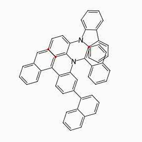 c1ccc(-n2c3ccccc3c3ccccc32)c(N(c2cc(-c3cccc4ccccc34)ccc2-c2cccc3ccccc23)c2cccc3ccccc23)c1